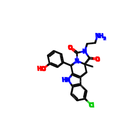 CC12Cc3c([nH]c4ccc(Cl)cc34)C(c3cccc(O)c3)N1C(=O)N(CCN)C2=O